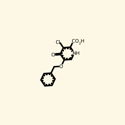 O=C(O)c1[nH]cc(OCc2ccccc2)c(=O)c1Cl